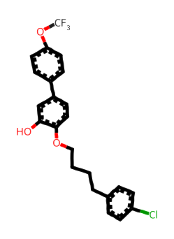 Oc1cc(-c2ccc(OC(F)(F)F)cc2)ccc1OCCCCc1ccc(Cl)cc1